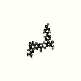 CCNC(=O)N(c1cnc(-c2cnc(OC)nc2)cn1)C1CCC(Nc2ncc(C(F)(F)F)c(-c3nn(C(F)F)cc3Cl)n2)CC1